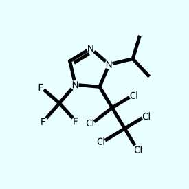 CC(C)N1N=CN(C(F)(F)F)C1C(Cl)(Cl)C(Cl)(Cl)Cl